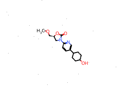 COC[C@@H]1CN(c2ccc(C3CCC(O)CC3)cn2)C(=O)O1